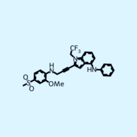 COc1cc(S(C)(=O)=O)ccc1NCC#Cc1cc2c(Nc3ccccc3)cccc2n1CC(F)(F)F